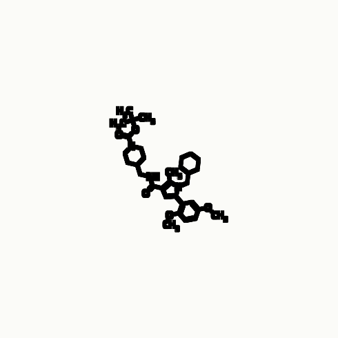 COc1ccc(OC)c(-c2cc(C(=O)NCC3CCN(C(=O)OC(C)(C)C)CC3)c(C)n2CC2CCCCC2)c1